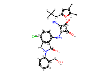 Cc1cc([C@H](Nc2c(Nc3ccc(Cl)c4c3C(=O)N(c3ccccc3CO)C4)c(=O)c2=O)C(C)(C)C)oc1C